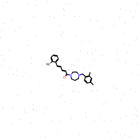 Cc1ccc(CN2CCCN(C(=O)C=CC=Cc3ccccc3C#N)CC2)c(C)c1